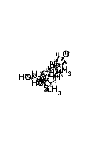 C[C@@H]1C[C@H]2[C@@H]3CCC4=CC(=O)C=C[C@]4(C)[C@H]3CC[C@]2(C)[C@@]1(OC(=O)CCO)C(O)=S